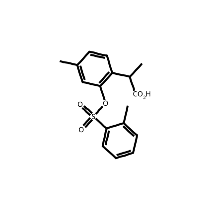 Cc1ccc(C(C)C(=O)O)c(OS(=O)(=O)c2ccccc2C)c1